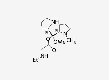 CCNCC([O])OC(OC)([C@H]1CCCN1)[C@H]1CCCN1C